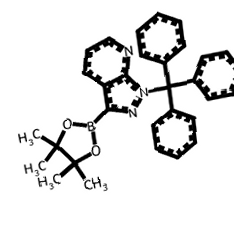 CC1(C)OB(c2nn(C(c3ccccc3)(c3ccccc3)c3ccccc3)c3ncccc23)OC1(C)C